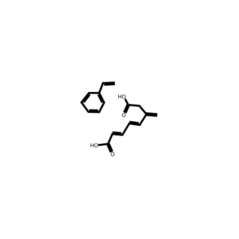 C=C(C=CC=CC(=O)O)CC(=O)O.C=Cc1ccccc1